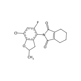 CC1Cc2c(c(Cl)cc(F)c2N2C(=O)C3=C(CCCC3)C2=O)O1